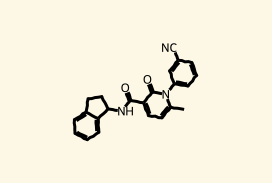 Cc1ccc(C(=O)NC2CCc3ccccc32)c(=O)n1-c1cccc(C#N)c1